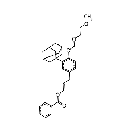 COCCOCOc1ccc(CC=COC(=O)c2ccccc2)cc1C12CC3CC(CC(C3)C1)C2